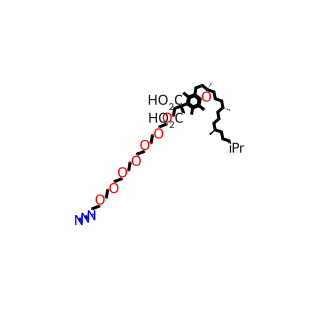 Cc1c(C)c(C(CCOCCOCCOCCOCCOCCOCCOCCN=[N+]=[N-])(CC(=O)O)C(=O)O)c(C)c2c1O[C@](C)(CCC[C@H](C)CCC[C@H](C)CCCC(C)C)CC2